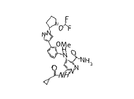 COc1c(Nc2cc(NC(=O)C3CC3)nnc2C(N)=O)cccc1-c1cnn(C2CCC[C@@H]2OC(F)F)c1